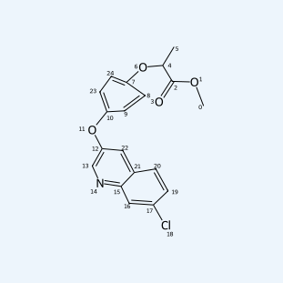 COC(=O)C(C)Oc1ccc(Oc2cnc3cc(Cl)ccc3c2)cc1